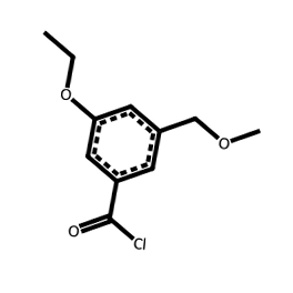 CCOc1cc(COC)cc(C(=O)Cl)c1